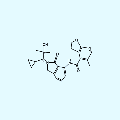 Cc1cnc2c(c1C(=O)Nc1cccc3c1C(=O)N([C@@H](C1CC1)C(C)(C)O)C3)CCO2